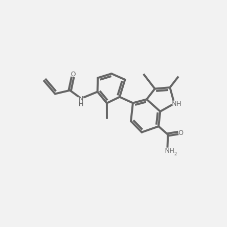 C=CC(=O)Nc1cccc(-c2ccc(C(N)=O)c3[nH]c(C)c(C)c23)c1C